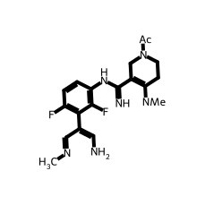 C/N=C/C(=C\N)c1c(F)ccc(NC(=N)C2=C(NC)CCN(C(C)=O)C2)c1F